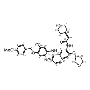 COc1ccc(COc2ccc(Nc3c(C#N)cnc4cc(OC5CCOC5)c(NC(=O)C=C5CCNCC5)cc34)cc2Cl)cc1